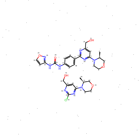 C[C@H]1COCCN1c1cc(CO)nc(-c2ccc(NC(=O)Nc3ccon3)cc2)n1.C[C@H]1COCCN1c1cc(CO)nc(Cl)n1